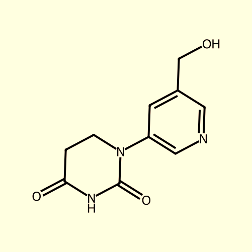 O=C1CCN(c2cncc(CO)c2)C(=O)N1